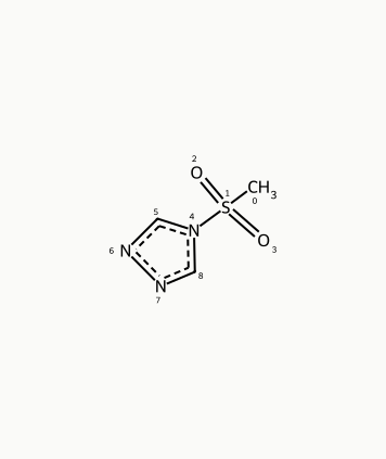 CS(=O)(=O)n1cnnc1